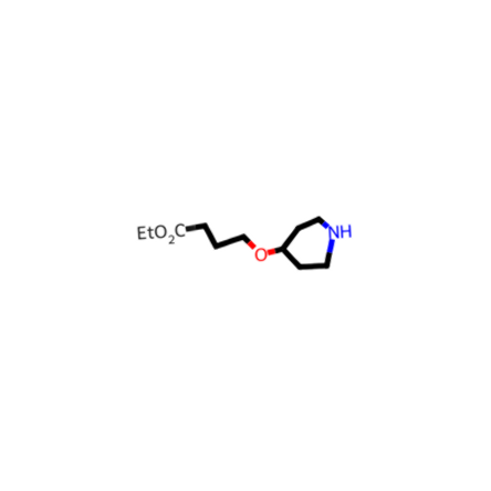 CCOC(=O)CCCOC1CCNCC1